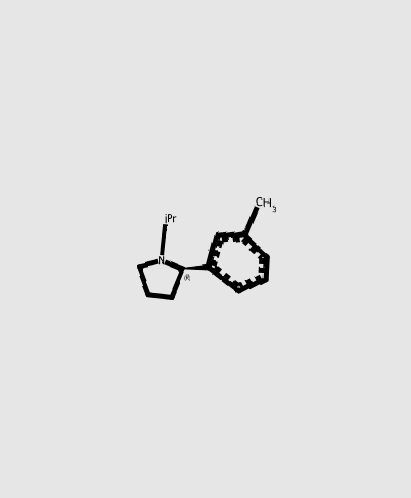 Cc1cccc([C@H]2CCCN2C(C)C)c1